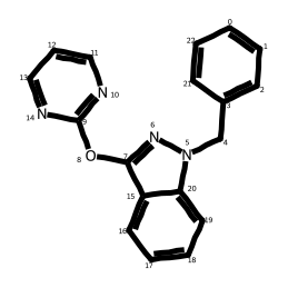 c1ccc(Cn2nc(Oc3ncccn3)c3ccccc32)cc1